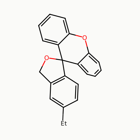 CCc1ccc2c(c1)COC21c2ccccc2Oc2ccccc21